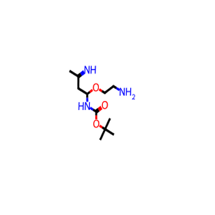 CC(=N)CC(NC(=O)OC(C)(C)C)OCCN